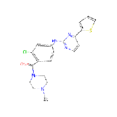 CCN1CCN(C(=O)c2ccc(Nc3nccc(-c4cccs4)n3)cc2Cl)CC1